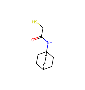 O=C(CS)NC12CCC(CC1)CC2